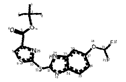 CC(C)(C)OC(=O)c1csc(Sc2nc3ccc(OC(F)F)cc3[nH]2)n1